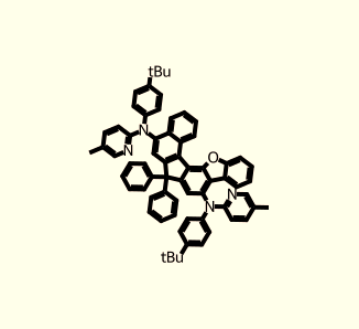 Cc1ccc(N(c2ccc(C(C)(C)C)cc2)c2cc3c(c4ccccc24)-c2c(cc(N(c4ccc(C(C)(C)C)cc4)c4ccc(C)cn4)c4c2oc2ccccc24)C3(c2ccccc2)c2ccccc2)nc1